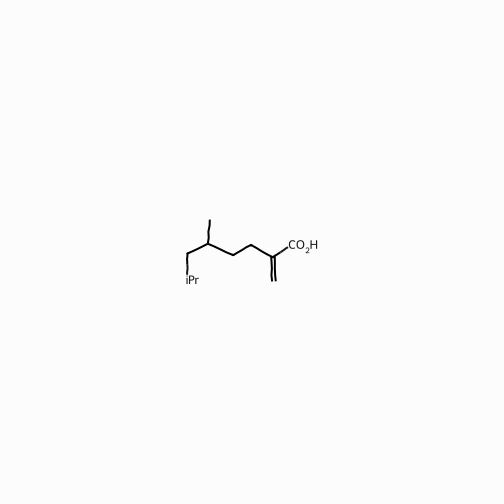 C=C(CCC(C)CC(C)C)C(=O)O